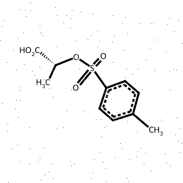 Cc1ccc(S(=O)(=O)O[C@H](C)C(=O)O)cc1